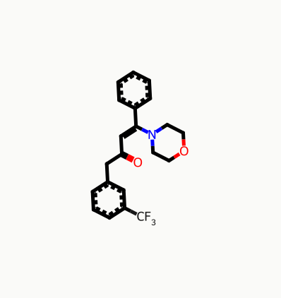 O=C(C=C(c1ccccc1)N1CCOCC1)Cc1cccc(C(F)(F)F)c1